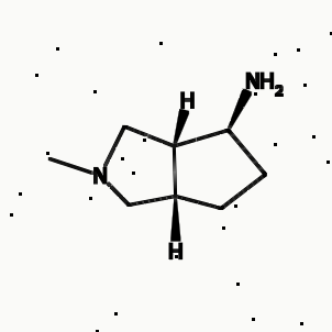 CN1C[C@H]2CC[C@H](N)[C@H]2C1